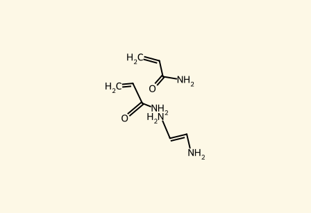 C=CC(N)=O.C=CC(N)=O.NC=CN